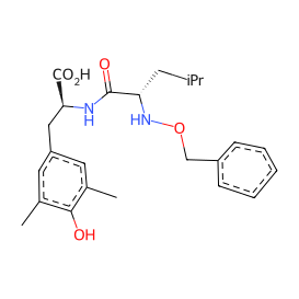 Cc1cc(C[C@H](NC(=O)[C@H](CC(C)C)NOCc2ccccc2)C(=O)O)cc(C)c1O